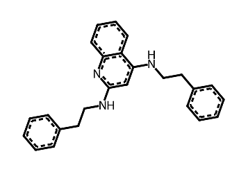 c1ccc(CCNc2cc(NCCc3ccccc3)c3ccccc3n2)cc1